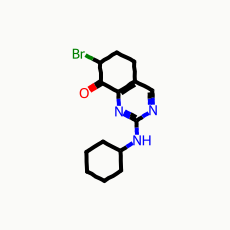 O=C1c2nc(NC3CCCCC3)ncc2CCC1Br